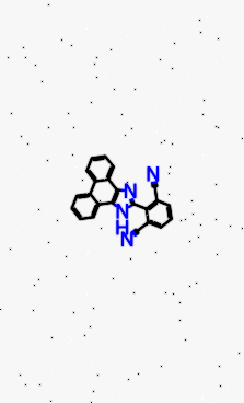 N#Cc1cccc(C#N)c1-c1nc2c3ccccc3c3ccccc3c2[nH]1